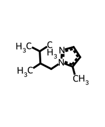 Cc1ccnn1CC(C)C(C)C